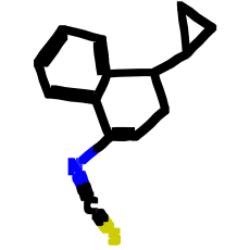 S=C=NC1=CCC(C2CC2)c2ccccc21